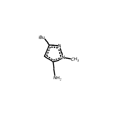 CCC(C)c1cc(N)n(C)n1